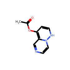 CC(=O)OC1=C2C=NC=CN2NC=C1